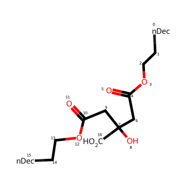 CCCCCCCCCCCCOC(=O)CC(O)(CC(=O)OCCCCCCCCCCCC)C(=O)O